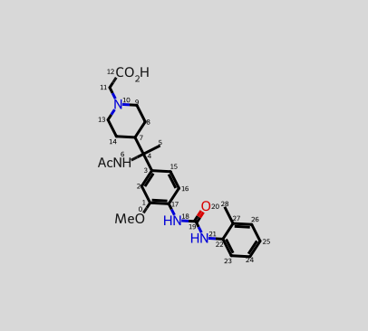 COc1cc(C(C)(NC(C)=O)C2CCN(CC(=O)O)CC2)ccc1NC(=O)Nc1ccccc1C